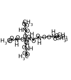 COC(=O)CCNC(=O)CCOCC(COCCC(=O)NCCC(=O)OC)(COCCC(=O)NCCC(=O)OC)NC(=O)CNC(=O)CCC(=O)NCCOCCOCCNC(=O)OC(C)(C)C